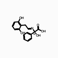 O=C(O)[C@@](O)(N=CCc1c(O)cccc1O)c1ccccc1